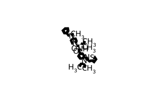 CCC(CC)n1c(Cc2cccs2)nc2cc(C(=O)N[C@@H](CC(C)C)C(=O)N3CCC(N(C)Cc4ccccc4)CC3)ccc21